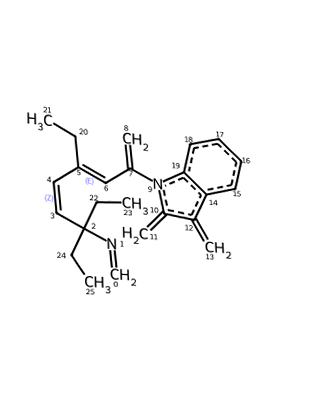 C=NC(/C=C\C(=C\C(=C)n1c(=C)c(=C)c2ccccc21)CC)(CC)CC